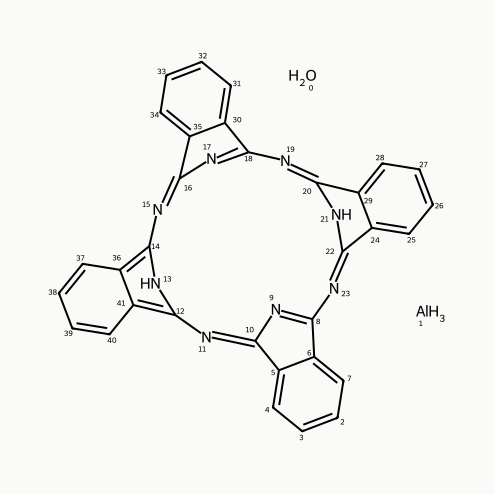 O.[AlH3].c1ccc2c(c1)-c1nc-2nc2[nH]c(nc3nc(nc4[nH]c(n1)c1ccccc41)-c1ccccc1-3)c1ccccc21